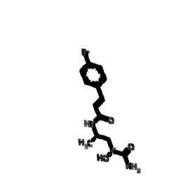 C[C@H](CN(O)C(N)=O)NC(=O)C=Cc1ccc(Br)cc1